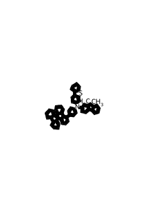 CC1(C)c2ccccc2-c2ccc(N(c3ccc(-c4cccc5c4-c4ccccc4C54c5ccccc5-c5ccccc54)cc3)c3ccc4c(c3)sc3ccccc34)cc21